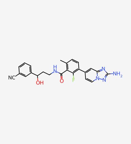 Cc1ccc(-c2ccn3nc(N)nc3c2)c(F)c1C(=O)NCCC(O)c1cccc(C#N)c1